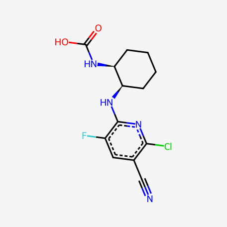 N#Cc1cc(F)c(N[C@@H]2CCCC[C@@H]2NC(=O)O)nc1Cl